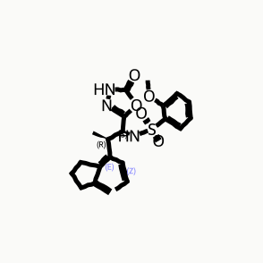 C=C1CCC/C1=C(/C=C\C)[C@@H](C)[C@H](NS(=O)(=O)c1ccccc1OC)c1n[nH]c(=O)o1